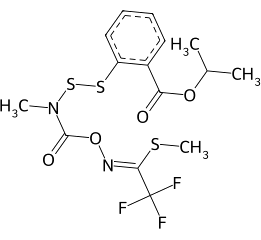 CSC(=NOC(=O)N(C)SSc1ccccc1C(=O)OC(C)C)C(F)(F)F